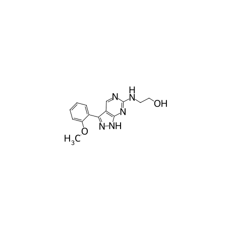 COc1ccccc1-c1n[nH]c2nc(NCCO)ncc12